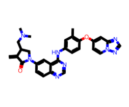 C=C1C(=O)N(c2ccc3ncnc(Nc4ccc(Oc5ccn6ncnc6c5)c(C)c4)c3c2)CC1CN(C)C